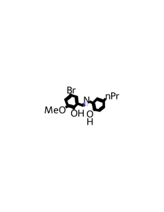 CCCc1ccc(O)c(/N=C/c2cc(Br)cc(OC)c2O)c1